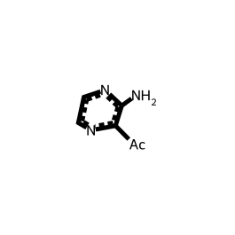 CC(=O)c1nccnc1N